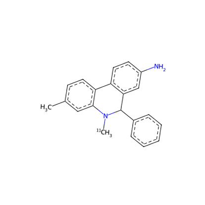 Cc1ccc2c(c1)N([11CH3])C(c1ccccc1)c1cc(N)ccc1-2